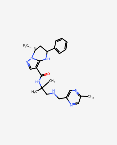 Cc1cnc(CNCC(C)(C)NC(=O)c2cnn3c2NC(c2ccccc2)C[C@H]3C(F)(F)F)cn1